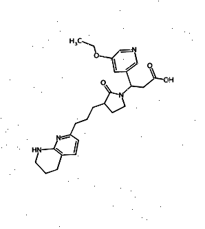 CCOc1cncc(C(CC(=O)O)N2CCC(CCCc3ccc4c(n3)NCCC4)C2=O)c1